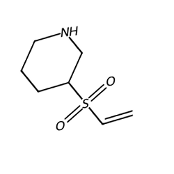 C=CS(=O)(=O)C1CCCNC1